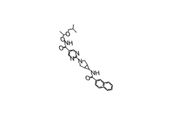 CC(C)COC(C)ONC(=O)c1cnc(N2CC3C(C2)C3NC(=O)c2ccc3ccccc3c2)nc1